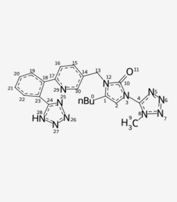 CCCCc1cn(-c2nnnn2C)c(=O)n1Cc1ccc(-c2ccccc2-c2nnn[nH]2)nc1